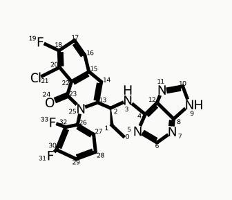 CC[C@H](Nc1ncnc2[nH]cnc12)c1cc2ccc(F)c(Cl)c2c(=O)n1-c1cccc(F)c1F